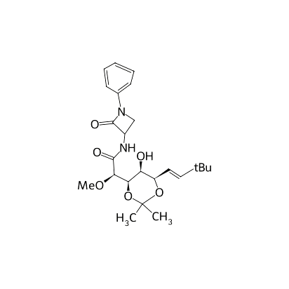 CO[C@@H](C(=O)NC1CN(c2ccccc2)C1=O)[C@@H]1OC(C)(C)O[C@H](/C=C/C(C)(C)C)[C@@H]1O